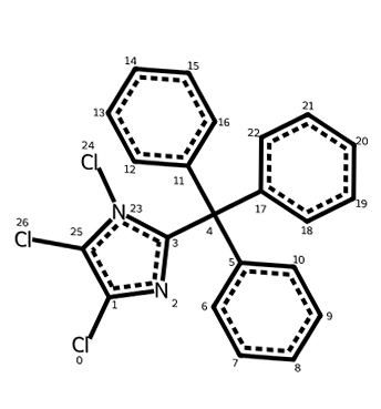 Clc1nc(C(c2ccccc2)(c2ccccc2)c2ccccc2)n(Cl)c1Cl